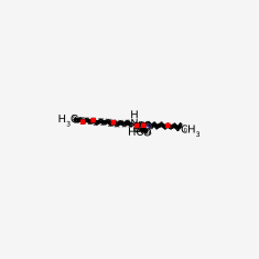 CCCCCCCCCC/C=C/C(CC(=O)NCCCCCCCCCCCCCCCCCC)C(=O)O